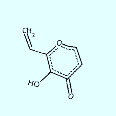 C=Cc1occc(=O)c1O